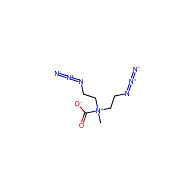 C[N+](CCN=[N+]=[N-])(CCN=[N+]=[N-])C(=O)[O-]